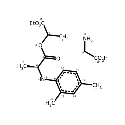 CCOC(=O)C(C)OC(=O)[C@H](C)Nc1ccc(C)cc1C.NCC(=O)O